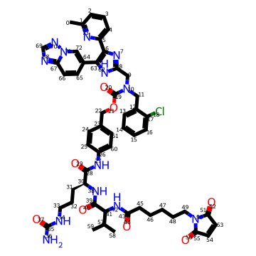 Cc1cccc(-c2nc(CN(Cc3ccccc3Cl)C(=O)OCc3ccc(NC(=O)[C@H](CCCNC(N)=O)NC(=O)C(NC(=O)CCCCCN4C(=O)C=CC4=O)C(C)C)cc3)[nH]c2-c2ccc3ncnn3c2)n1